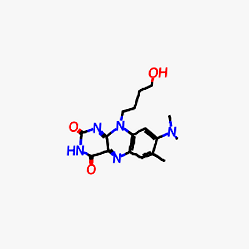 Cc1cc2nc3c(=O)[nH]c(=O)nc-3n(CCCCO)c2cc1N(C)C